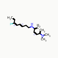 C=C/C(F)=C\C=C\CCNC(=C)/C=C\C(=C)N(C)C